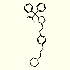 NC(=O)C(c1ccccc1)(c1ccccc1)C1CCN(CCc2ccc(OCCN3CCOCC3)cc2)C1